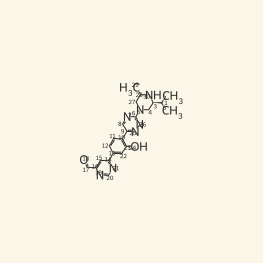 CC(C)[C@H]1CN(c2ncc(-c3ccc(-c4cc(C=O)ncn4)cc3O)nn2)C[C@@H](C)N1